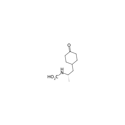 C[C@@H](CC1CCC(=O)CC1)NC(=O)O